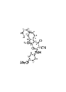 COc1ccc(NC(=O)C(C#N)C(=O)c2nn(C)c3c2ccc2ccccc23)cc1